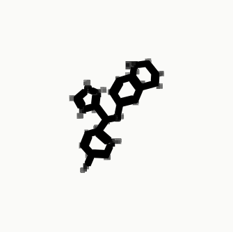 Fc1ccc(C(Oc2ccc3c(c2)C=CCN3)c2ncon2)nc1